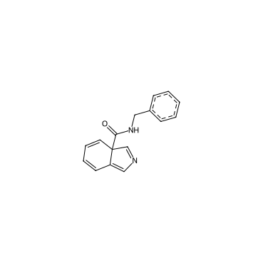 O=C(NCc1ccccc1)C12C=CC=CC1=CN=C2